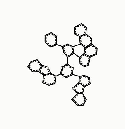 c1ccc(-c2cc(-c3nc(-c4cccc5c4sc4ccccc45)cc(-c4cccc5c4sc4ccccc45)n3)c(-c3cccc4ccccc34)c(-c3cccc4ccccc34)c2)cc1